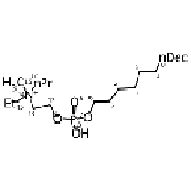 CCCCCCCCCCCCCCCCOP(=O)(O)OCC[N+](C)(CC)CCC